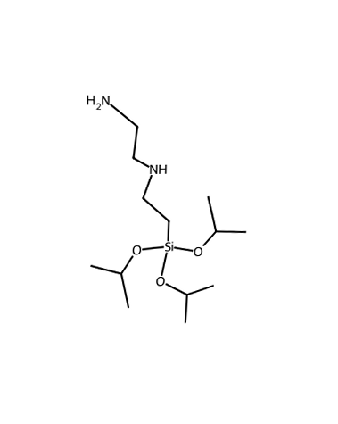 CC(C)O[Si](CCNCCN)(OC(C)C)OC(C)C